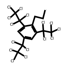 [CH2]CCc1c(C(Cl)(Cl)C(Cl)(Cl)Cl)cc(C(Cl)(Cl)C(Cl)(Cl)Cl)cc1C(Cl)(Cl)C(Cl)(Cl)Cl